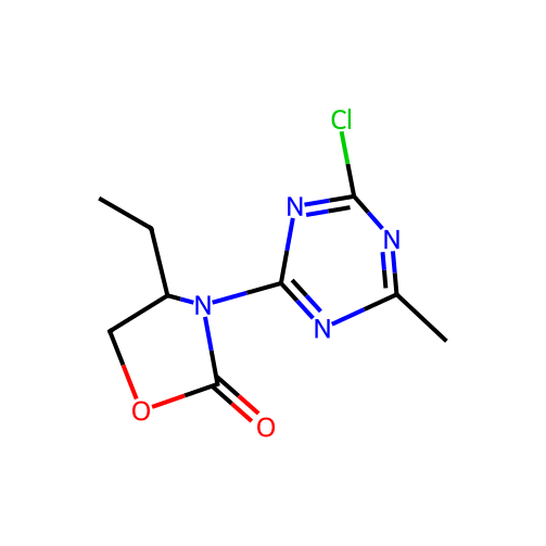 CCC1COC(=O)N1c1nc(C)nc(Cl)n1